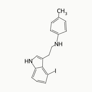 Cc1ccc(NCCc2c[nH]c3cccc(I)c23)cc1